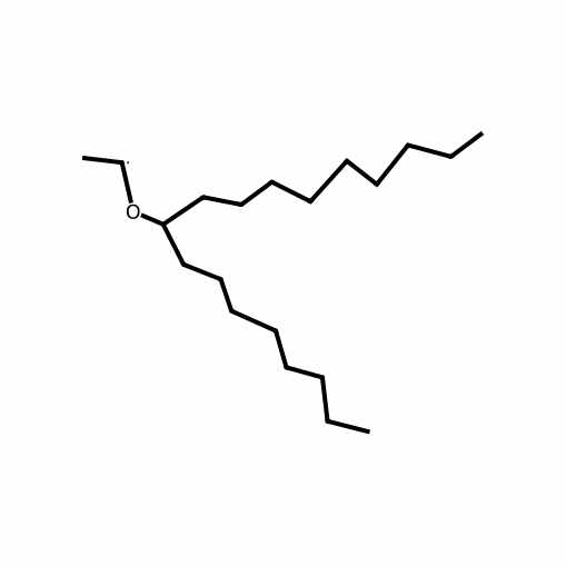 C[CH]OC(CCCCCCCC)CCCCCCCCC